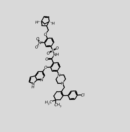 CC1(C)CCC(CN2CCN(c3ccc(C(=O)NS(=O)(=O)c4ccc(OCC5C[C@H]6C=C[C@@H]5C6)c([N+](=O)[O-])c4)c(Oc4cnc5[nH]ccc5c4)c3)CC2)=C(c2ccc(Cl)cc2)C1